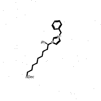 CCCCCCCCCCCCCCCCCC[C@@H](C(C)C)n1cc[n+](Cc2ccccc2)c1